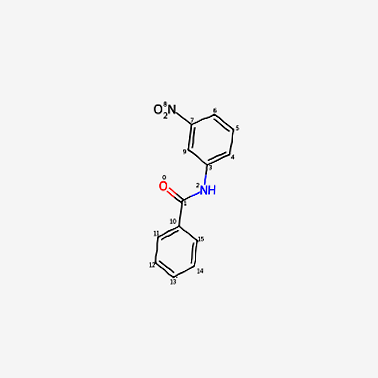 O=C(Nc1cccc([N+](=O)[O-])c1)c1cc[c]cc1